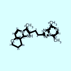 CC1=C(CCc2nc3c(C)ncc(C)n3n2)NC2C3=C(C=CN12)OCCC3